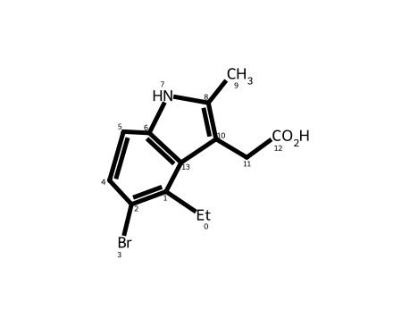 CCc1c(Br)ccc2[nH]c(C)c(CC(=O)O)c12